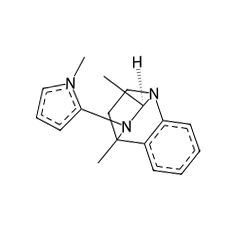 C[C@H]1N2CCC(C)(c3ccccc32)N1c1cccn1C